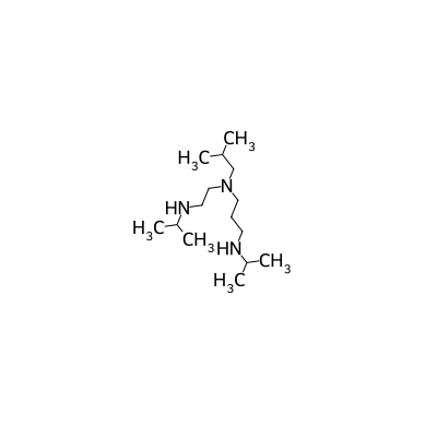 CC(C)CN(CCCNC(C)C)CCNC(C)C